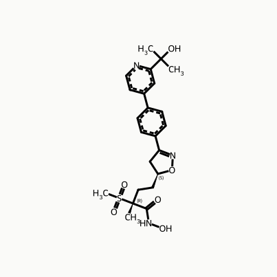 CC(C)(O)c1cc(-c2ccc(C3=NO[C@@H](CC[C@](C)(C(=O)NO)S(C)(=O)=O)C3)cc2)ccn1